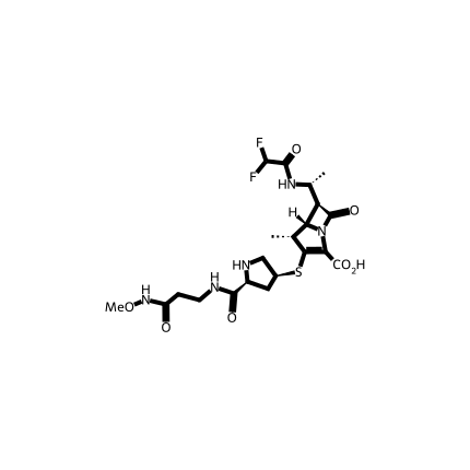 CONC(=O)CCNC(=O)[C@@H]1C[C@H](SC2=C(C(=O)O)N3C(=O)[C@H]([C@@H](C)NC(=O)C(F)F)[C@H]3[C@H]2C)CN1